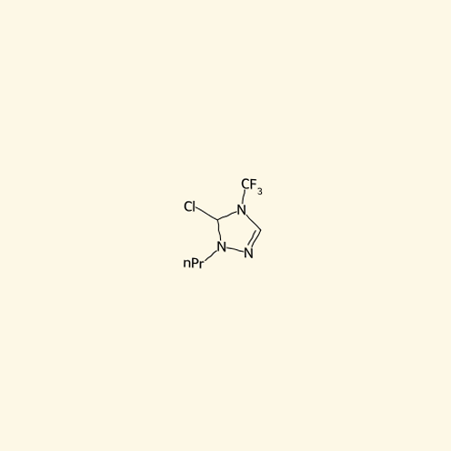 CCCN1N=CN(C(F)(F)F)C1Cl